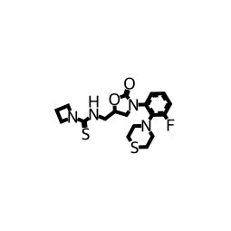 O=C1OC(CNC(=S)N2CCC2)CN1c1cccc(F)c1N1CCSCC1